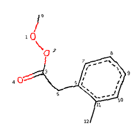 COOC(=O)Cc1ccccc1C